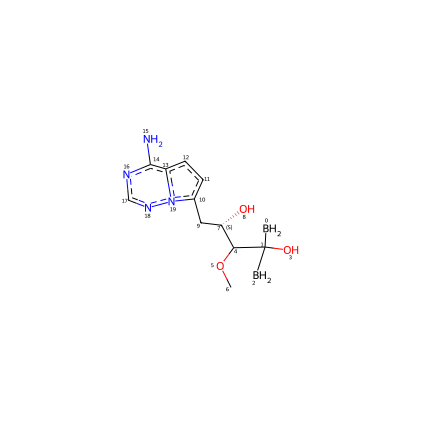 BC(B)(O)C(OC)[C@@H](O)Cc1ccc2c(N)ncnn12